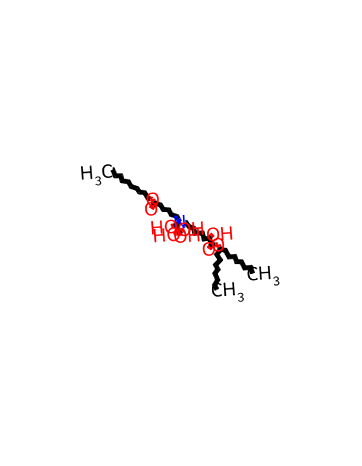 CCCCCCCCCCCOC(=O)CCCCCN(CCCCCCC(O)C(=O)OC(CCCCCCCC)CCCCCCCC)C(O)C(O)(O)O